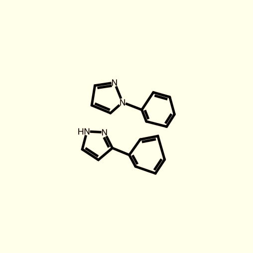 c1ccc(-c2cc[nH]n2)cc1.c1ccc(-n2cccn2)cc1